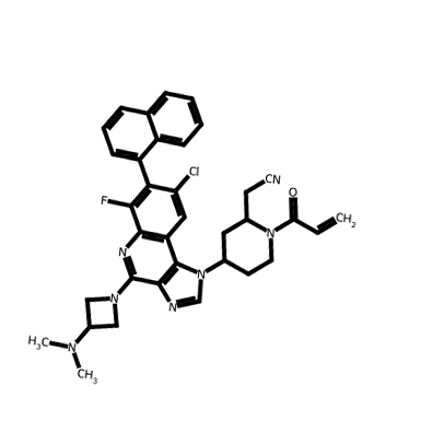 C=CC(=O)N1CCC(n2cnc3c(N4CC(N(C)C)C4)nc4c(F)c(-c5cccc6ccccc56)c(Cl)cc4c32)CC1CC#N